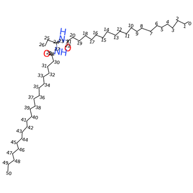 CCCCCCCCCCCCCCCCCCCCCC(=O)NC(CC)NC(=O)CCCCCCCCCCCCCCCCCCCCC